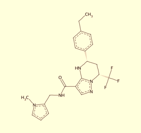 CCc1ccc([C@@H]2C[C@H](C(F)(F)F)n3ncc(C(=O)NCc4cccn4C)c3N2)cc1